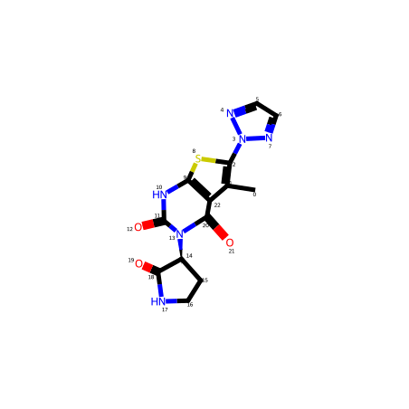 Cc1c(-n2nccn2)sc2[nH]c(=O)n([C@H]3CCNC3=O)c(=O)c12